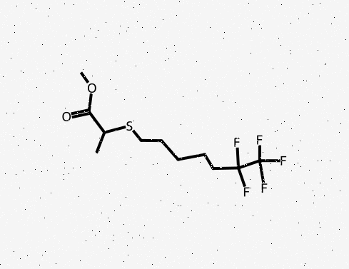 COC(=O)C(C)SCCCCCC(F)(F)C(F)(F)F